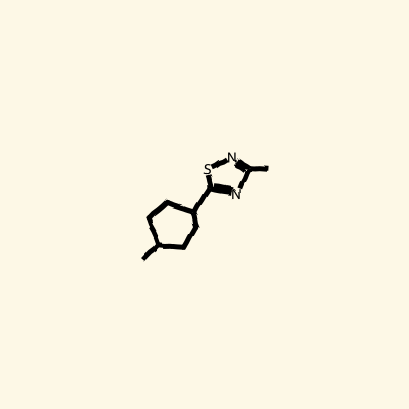 Cc1nsc(C2CCC(C)CC2)n1